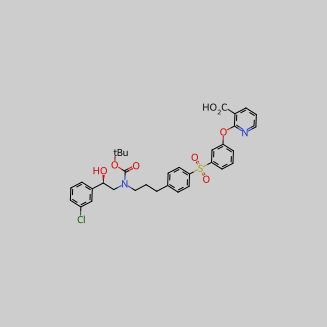 CC(C)(C)OC(=O)N(CCCc1ccc(S(=O)(=O)c2cccc(Oc3ncccc3C(=O)O)c2)cc1)C[C@H](O)c1cccc(Cl)c1